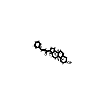 C[C@]12CC[C@H](O)CC1=CC[C@@H]1[C@@H]2CC[C@]2(C)C(C(=O)/C=C/c3ccccc3)CC[C@@H]12